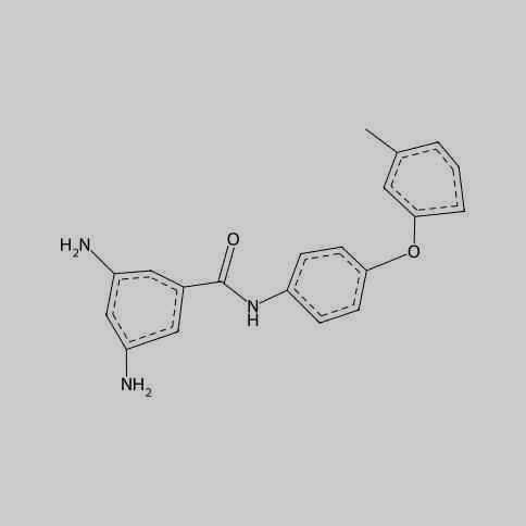 Cc1cccc(Oc2ccc(NC(=O)c3cc(N)cc(N)c3)cc2)c1